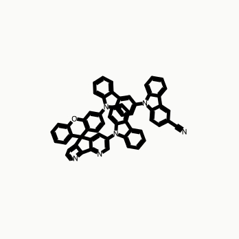 N#Cc1ccc2c(c1)c1ccccc1n2-c1ccc2c(c1)c1ccccc1n2-c1ccc2c(c1)Oc1ccccc1C21c2cccnc2-c2ncc(-n3c4ccccc4c4ccccc43)cc21